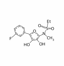 CCS(=O)(=O)N(C)c1oc(-c2cccc(F)c2)c(O)c1O